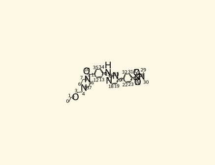 CCOCCN1CCN(C(=O)c2ccc(Nc3nccc(-c4ccc(S(=O)(=O)N(C)C)cc4)n3)cc2)CC1